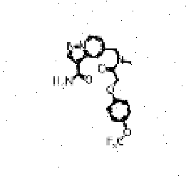 CN(Cc1ccn2ncc(C(N)=O)c2c1)C(=O)COc1ccc(OC(F)(F)F)cc1